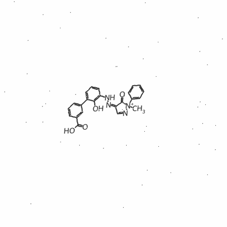 C[N+]1(c2ccccc2)N=CC(=NNc2cccc(-c3cccc(C(=O)O)c3)c2O)C1=O